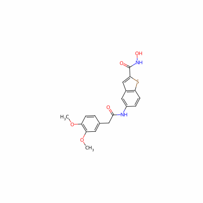 COc1ccc(CC(=O)Nc2ccc3sc(C(=O)NO)cc3c2)cc1OC